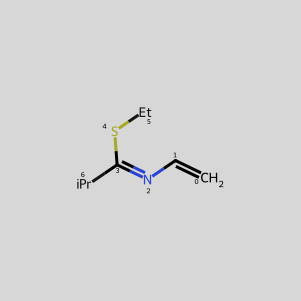 C=C/N=C(\SCC)C(C)C